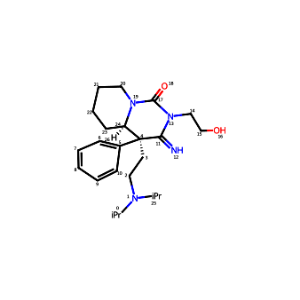 CC(C)N(CC[C@@]1(c2ccccc2)C(=N)N(CCO)C(=O)N2CCCC[C@@H]21)C(C)C